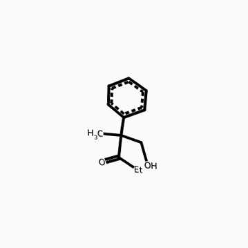 CCC(=O)C(C)(CO)c1ccccc1